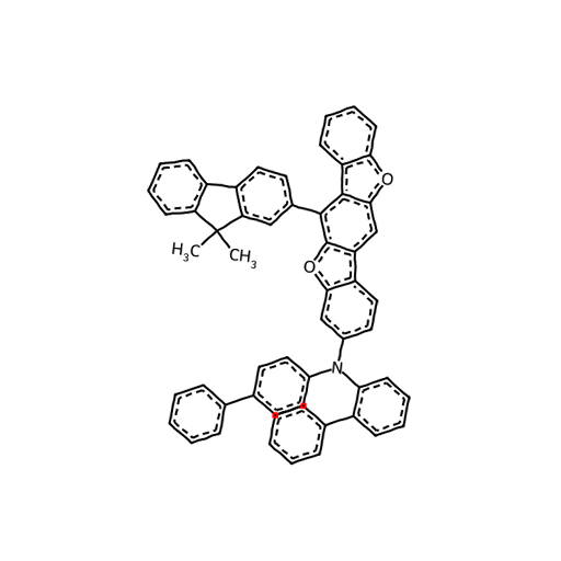 CC1(C)c2ccccc2-c2ccc(-c3c4oc5cc(N(c6ccc(-c7ccccc7)cc6)c6ccccc6-c6ccccc6)ccc5c4cc4oc5ccccc5c34)cc21